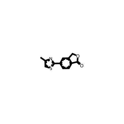 Cc1csc(-c2ccc3c(c2)COC3=O)n1